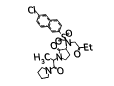 CCC(=O)CN(C1CCN(C(C)C(=O)N2CCCC2)C1=O)S(=O)(=O)c1ccc2cc(Cl)ccc2c1